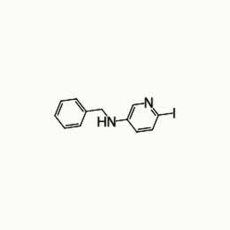 Ic1ccc(NCc2ccccc2)cn1